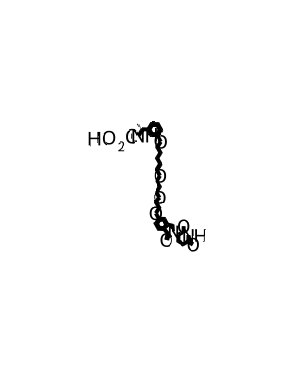 C[C@@H](NC(=O)O)c1cccc(OCCCCCOCCCOCCOc2ccc3c(c2)CN(C2CCC(=O)NC2=O)C3=O)c1